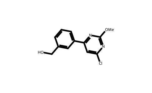 COc1nc(Cl)cc(-c2cccc(CO)c2)n1